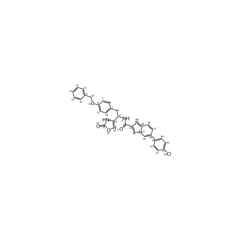 O=C(NC(Cc1ccc(OCc2ccccc2)cc1)c1noc(=O)[nH]1)c1cn2cc(-c3ccc(Cl)cc3)ccc2n1